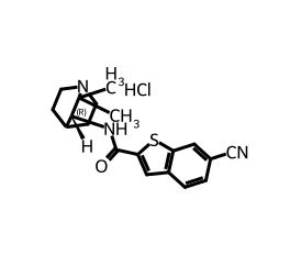 CC1(C)[C@H](NC(=O)c2cc3ccc(C#N)cc3s2)C2CCN1CC2.Cl